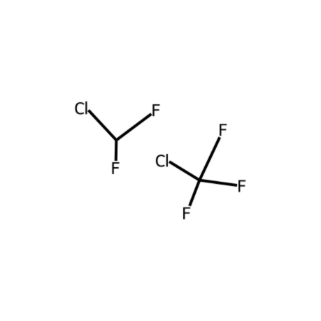 FC(F)(F)Cl.FC(F)Cl